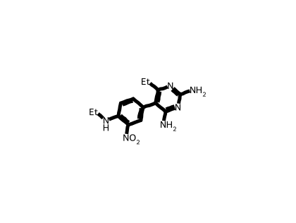 CCNc1ccc(-c2c(N)nc(N)nc2CC)cc1[N+](=O)[O-]